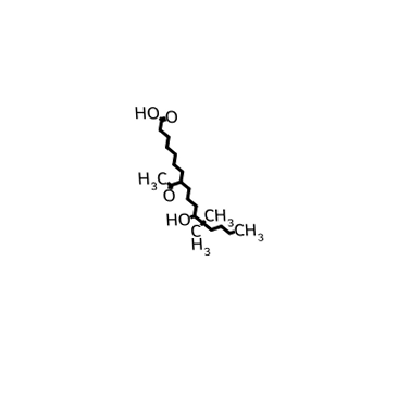 CCCCC(C)(C)C(O)CCCC(CCCCCCC(=O)O)C(C)=O